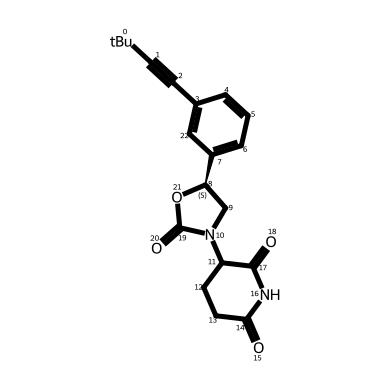 CC(C)(C)C#Cc1cccc([C@H]2CN(C3CCC(=O)NC3=O)C(=O)O2)c1